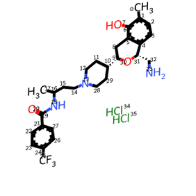 Cc1ccc2c(c1O)C[C@@H](C1CCN(CCC(C)NC(=O)c3ccc(C(F)(F)F)cc3)CC1)O[C@H]2CN.Cl.Cl